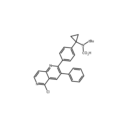 CC(C)(C)N(C(=O)O)C1(c2ccc(-c3nc4ccnc(Cl)c4cc3-c3ccccc3)cc2)CC1